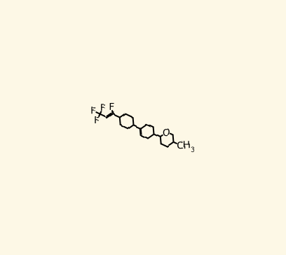 CC1CCC(C2CCC(C3CCC(/C(F)=C/C(F)(F)F)CC3)CC2)OC1